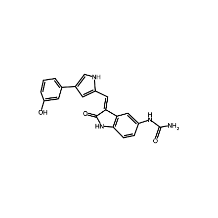 NC(=O)Nc1ccc2c(c1)/C(=C/c1cc(-c3cccc(O)c3)c[nH]1)C(=O)N2